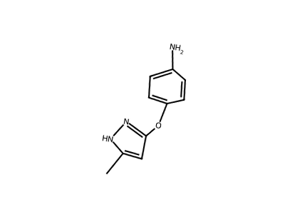 Cc1cc(Oc2ccc(N)cc2)n[nH]1